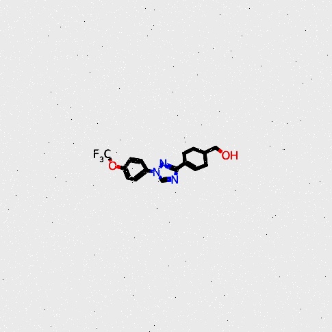 OCC1CC=C(c2ncn(-c3ccc(OC(F)(F)F)cc3)n2)CC1